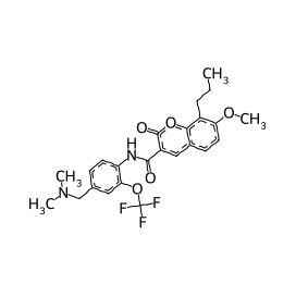 CCCc1c(OC)ccc2cc(C(=O)Nc3ccc(CN(C)C)cc3OC(F)(F)F)c(=O)oc12